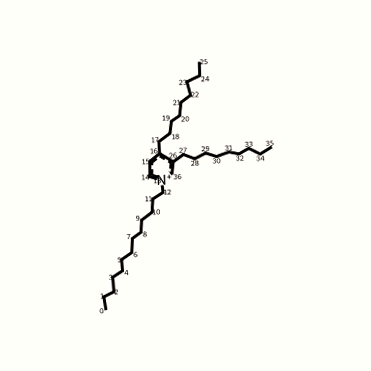 CCCCCCCCCCCCC[n+]1ccc(CCCCCCCCC)c(CCCCCCCCC)c1